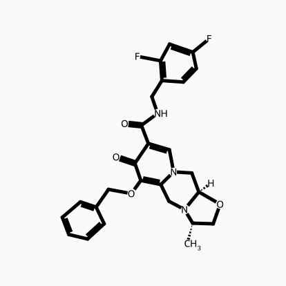 C[C@H]1CO[C@@H]2Cn3cc(C(=O)NCc4ccc(F)cc4F)c(=O)c(OCc4ccccc4)c3CN12